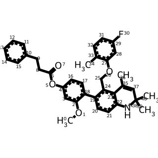 COc1cc(OC(=O)CCc2ccccc2)ccc1-c1ccc2c(c1COc1cc(F)ccc1C)C(C)=CC(C)(C)N2